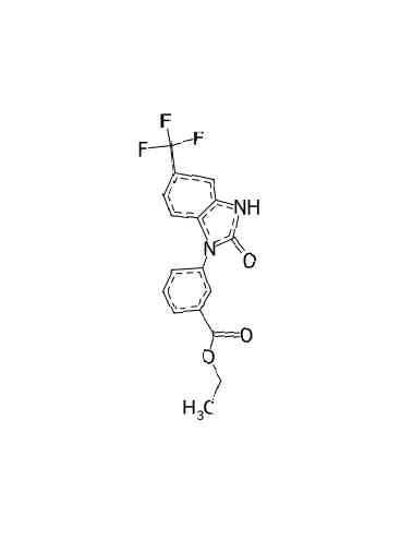 CCOC(=O)c1cccc(-n2c(=O)[nH]c3cc(C(F)(F)F)ccc32)c1